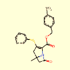 CC12CC(=O)N1C(C(=O)OCc1ccc([N+](=O)[O-])cc1)=C(Sc1ccccc1)C2